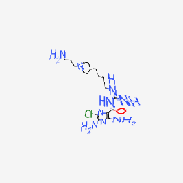 N=C(NCCCCC1CCN(CCCN)CC1)NC(=O)c1nc(Cl)c(N)nc1N